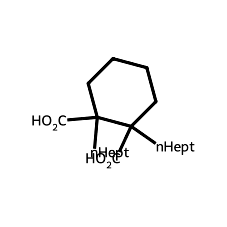 CCCCCCCC1(C(=O)O)CCCCC1(CCCCCCC)C(=O)O